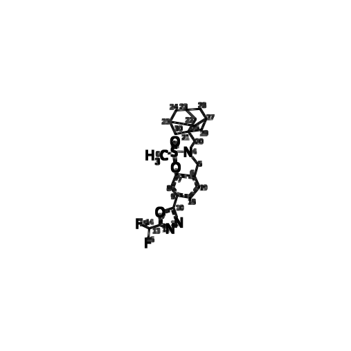 CS(=O)(=O)N(Cc1ccc(-c2nnc(C(F)F)o2)cc1)CC12CC3CC(CC(C3)C1)C2